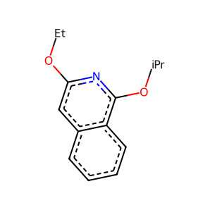 CCOc1cc2ccccc2c(OC(C)C)n1